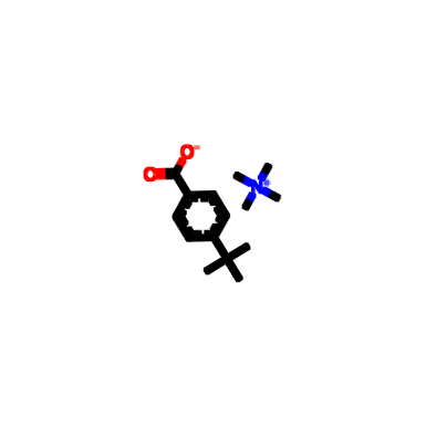 CC(C)(C)c1ccc(C(=O)[O-])cc1.C[N+](C)(C)C